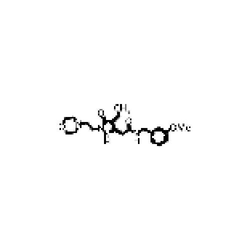 C/C=c1\c(=O)n(CCN2CCOCC2)[nH]\c1=C\C(=O)NCc1cccc(OC)c1